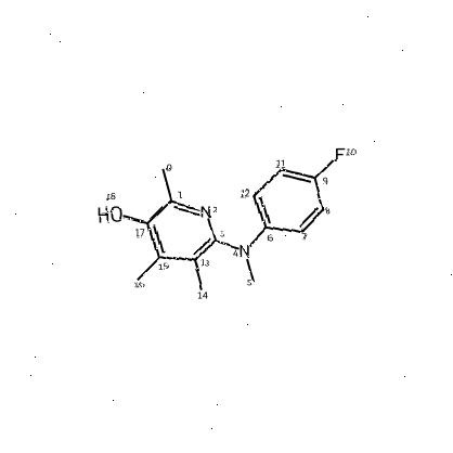 Cc1nc(N(C)c2ccc(F)cc2)c(C)c(C)c1O